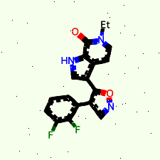 CCn1ccc2c(-c3oncc3-c3cccc(F)c3F)c[nH]c2c1=O